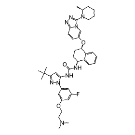 C[C@H]1CCCCN1c1nnc2ccc(O[C@@H]3CC[C@H](NC(=O)Nc4cc(C(C)(C)C)nn4-c4cc(F)cc(OCCN(C)C)c4)c4ccccc43)cn12